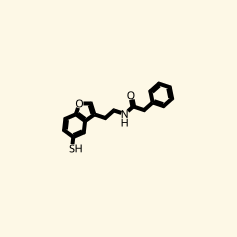 O=C(Cc1ccccc1)NCCc1coc2ccc(S)cc12